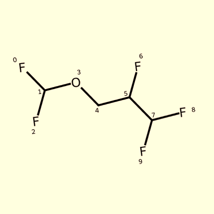 FC(F)OCC(F)C(F)F